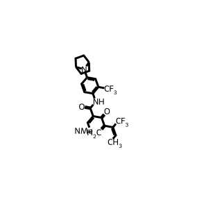 C=C(C(=O)/C(=C\NC)C(=O)Nc1ccc(N2C3CCC2CC3)cc1C(F)(F)F)/C(=C\C)C(F)(F)F